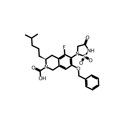 CC(C)CCC[C@H]1Cc2c(cc(OCc3ccccc3)c(N3CC(=O)NS3(=O)=O)c2F)CN1C(=O)O